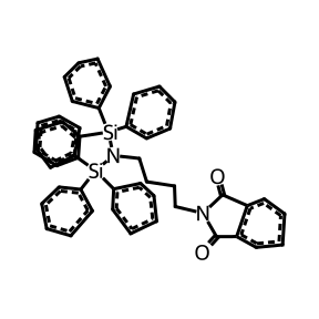 O=C1c2ccccc2C(=O)N1CCCCN([Si](c1ccccc1)(c1ccccc1)c1ccccc1)[Si](c1ccccc1)(c1ccccc1)c1ccccc1